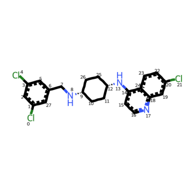 Clc1cc(Cl)cc(CN[C@H]2CC[C@@H](Nc3ccnc4cc(Cl)ccc34)CC2)c1